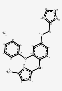 Cc1csc(Nc2ncc(SCc3ncon3)cc2Oc2ccccc2)n1.Cl